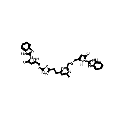 Cc1cc(CCc2nnc(SCc3cc(=O)n(-c4nc5ccccc5[nH]4)[nH]3)s2)nc(CSCc2cc(=O)n(-c3nc4ccccc4[nH]3)[nH]2)n1